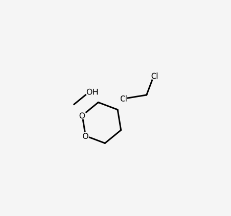 C1CCOOC1.CO.ClCCl